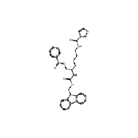 O=C(NC(CCCCNC(=O)n1ccnc1)COC(=O)c1ccccc1)OCC1c2ccccc2-c2ccccc21